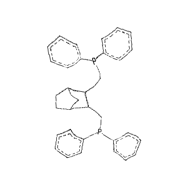 c1ccc(P(CC2C3CCC(C3)C2CP(c2ccccc2)c2ccccc2)c2ccccc2)cc1